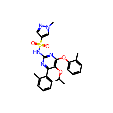 Cc1ccccc1Oc1nc(NS(=O)(=O)c2cnn(C)c2)nc(-c2ccccc2C)c1OC(C)C